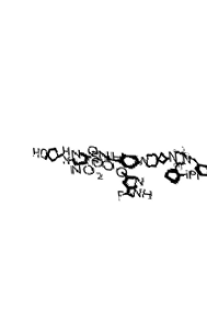 CC(C)c1ccccc1[C@@H]1CN(Cc2ccc(F)c(F)c2)[C@@H](C)CN1C1CC2(CCN(c3ccc(C(=O)NS(=O)(=O)c4cnc(NCC5CCC(C)(O)CC5)c([N+](=O)[O-])c4)c(Oc4cnc5[nH]cc(F)c5c4)c3)CC2)C1